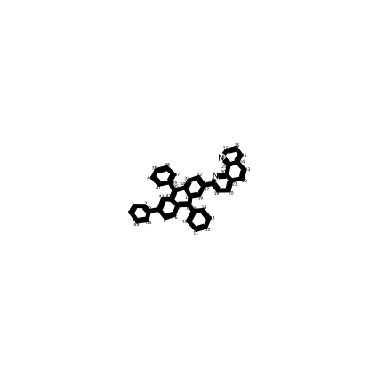 c1ccc(-c2ccc3c(-c4ccccc4)c4cc(-c5ccc6ccc7cccnc7c6n5)ccc4c(-c4ccccc4)c3c2)cc1